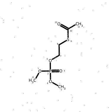 COP(=O)(OC)OCCSC(C)=O